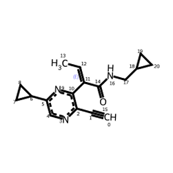 C#Cc1ncc(C2CC2)nc1/C(=C\C)C(=O)NCC1CC1